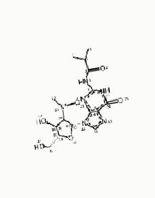 CC(C)C(=O)Nc1nc2c(ncn2[C@@H]2O[C@H](CO)[C@@H](O)C2[S+](C)[O-])c(=O)[nH]1